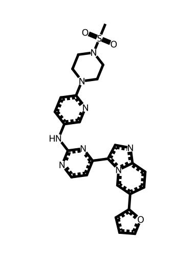 CS(=O)(=O)N1CCN(c2ccc(Nc3nccc(-c4cnc5ccc(-c6ccco6)cn45)n3)cn2)CC1